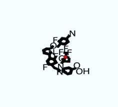 N#Cc1ccc(COc2cccc(-c3cc(F)c(Cc4nc5ccc(C(=O)O)cc5n4CC45CC(C4)C(C(F)(F)F)O5)cc3F)n2)c(F)c1